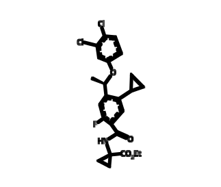 CCOC(=O)C1(NC(=O)c2cc(C3CC3)c([C@@H](C)Oc3ccc(Cl)c(Cl)c3)cc2F)CC1